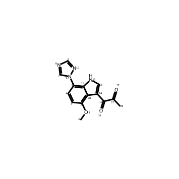 COc1ccc(-n2cncn2)c2[nH]cc(C(=O)C(C)=O)c12